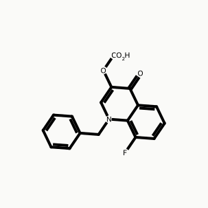 O=C(O)Oc1cn(Cc2ccccc2)c2c(F)cccc2c1=O